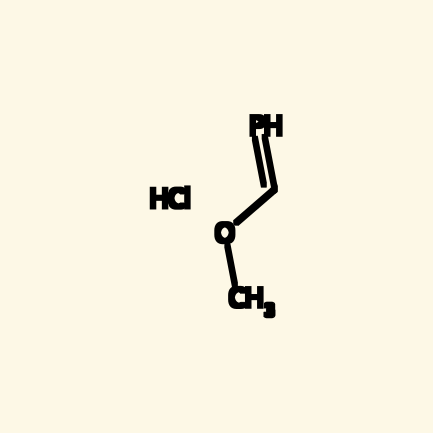 COC=P.Cl